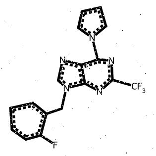 Fc1ccccc1Cn1cnc2c(-n3cccc3)nc(C(F)(F)F)nc21